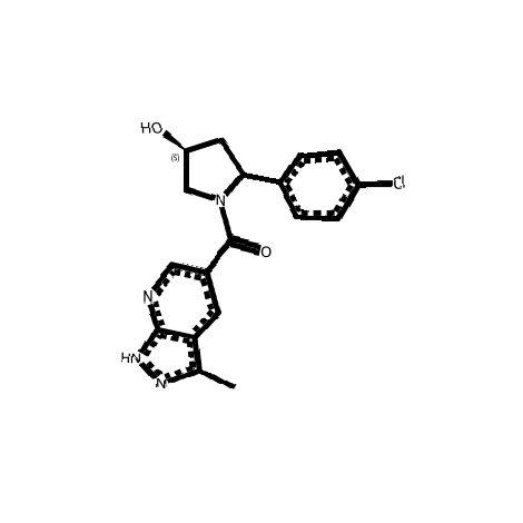 Cc1n[nH]c2ncc(C(=O)N3C[C@@H](O)CC3c3ccc(Cl)cc3)cc12